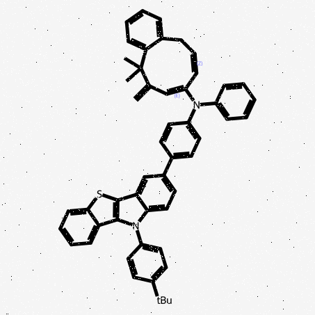 C=C1/C=C(N(c2ccccc2)c2ccc(-c3ccc4c(c3)c3sc5ccccc5c3n4-c3ccc(C(C)(C)C)cc3)cc2)\C=C/Cc2ccccc2C1(C)C